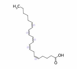 CCCCC\C=C/C=C\C=C/C=C\C/C=C\CCCC(=O)O